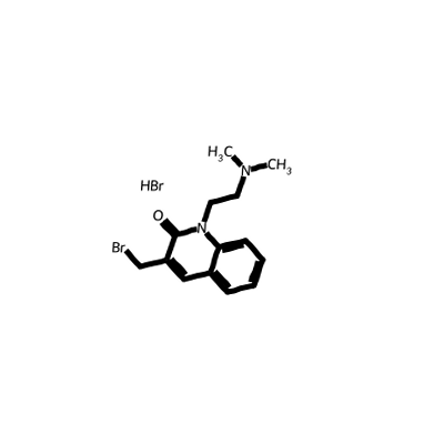 Br.CN(C)CCn1c(=O)c(CBr)cc2ccccc21